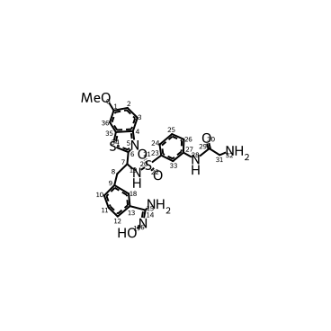 COc1ccc2nc(C(Cc3cccc(/C(N)=N\O)c3)NS(=O)(=O)c3cccc(NC(=O)CN)c3)sc2c1